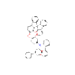 C1=C(N(c2cccc(-c3ccccc3)c2)c2ccccc2-c2ccccc2)CCC2=C1Oc1c(ccc3c1C1(c4ccccc4-c4ccccc41)c1ccccc1-3)O2